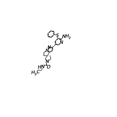 CCNC(=O)N1CC[C@@]2(CCn3nc(-c4cnc(N)c(Sc5ccccc5)c4)cc32)C1